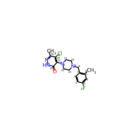 Cc1cc(F)ccc1CN1CCN(c2c(Cl)c(C)n[nH]c2=O)CC1